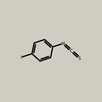 S=C=Nc1c[c]c(I)cc1